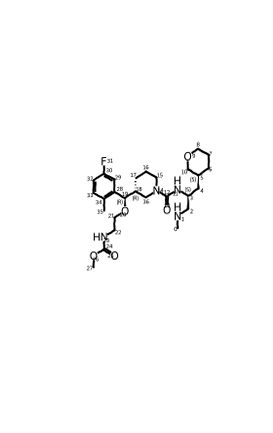 CNC[C@H](C[C@@H]1CCCOC1)NC(=O)N1CCC[C@@H]([C@@H](OCCNC(=O)OC)c2cc(F)ccc2C)C1